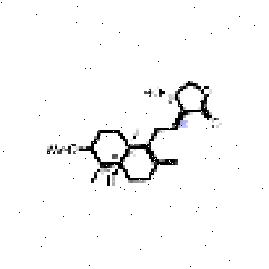 COC1CC[C@@]2(C)C(C/C=C3/C(=O)OC[C@H]3O)=C(C)CC[C@@H]2[C@H]1C